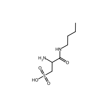 CCCCNC(=O)C(N)CS(=O)(=O)O